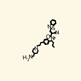 CCCC(c1ccc(CCCN2CCC(CN)CC2)cc1)N(C)C(=O)/C(C#N)=C/c1nc2ccccc2s1